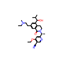 CCOc1cc([C@H](C)N2CCc3c(cc(CCN(C)CC)cc3C(O)C(C)C)C2=O)ncc1C#N